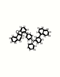 c1ccc(N(c2ccc(-c3cccc4oc5c6ccccc6ccc5c34)cc2)c2cccc(-c3cccc4ccccc34)c2)cc1